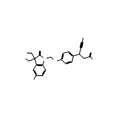 CC#CC(CC(=O)O)c1ccc(OCN2C(=O)C(CC)(CC)c3cc(Br)ccc32)cc1